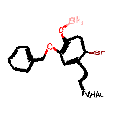 BOc1cc(Br)c(CCNC(C)=O)cc1OCc1ccccc1